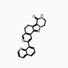 O=C1NCCn2nc3c(c21)CCc1cnc(-c2cccc4cccnc24)cc1-3